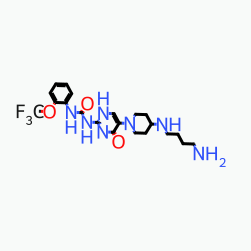 NCCCCNC1CCN(c2c[nH]c(NC(=O)Nc3ccccc3OC(F)(F)F)nc2=O)CC1